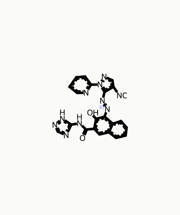 [C-]#[N+]c1cnn(-c2ccccn2)c1/N=N/c1c(O)c(C(=O)Nc2ncn[nH]2)cc2ccccc12